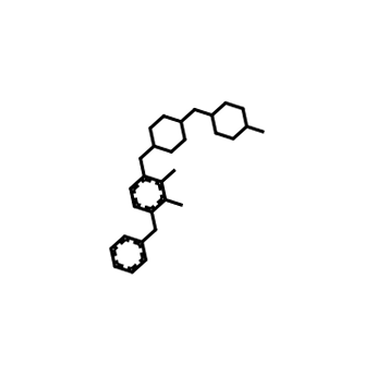 Cc1c(Cc2ccccc2)ccc(CC2CCC(CC3CCC(C)CC3)CC2)c1C